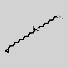 CCCCCCCCOC(=O)CCCCCCCCCCC1CC1